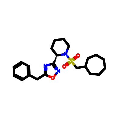 O=S(=O)(CC1CCCCCC1)N1CCCC[C@H]1c1noc(Cc2ccccc2)n1